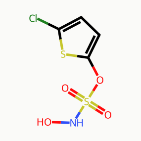 O=S(=O)(NO)Oc1ccc(Cl)s1